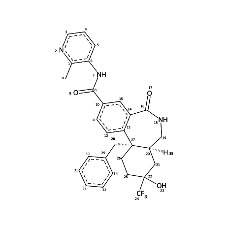 Cc1ncccc1NC(=O)c1ccc2c(c1)C(=O)NC[C@H]1CC(O)(C(F)(F)F)CC[C@@]21Cc1ccccc1